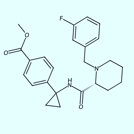 COC(=O)c1ccc(C2(NC(=O)[C@H]3CCCCN3Cc3cccc(F)c3)CC2)cc1